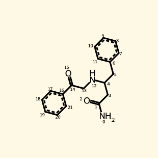 NC(=O)CC(Cc1ccccc1)NCC(=O)c1ccccc1